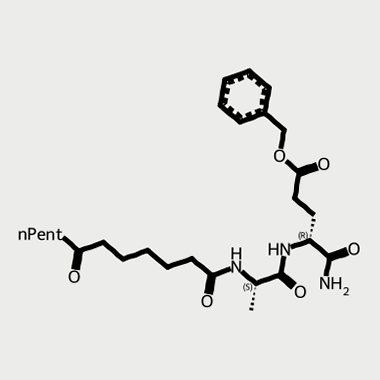 CCCCCC(=O)CCCCCC(=O)N[C@@H](C)C(=O)N[C@H](CCC(=O)OCc1ccccc1)C(N)=O